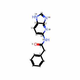 O=C(Cc1ccccc1)Nc1ccc2[nH]cnc2n1